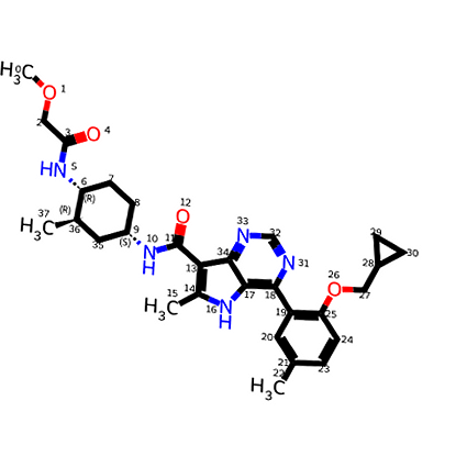 COCC(=O)N[C@@H]1CC[C@H](NC(=O)c2c(C)[nH]c3c(-c4cc(C)ccc4OCC4CC4)ncnc23)C[C@H]1C